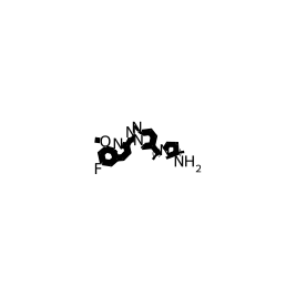 COc1cc(F)cc2ccc(-c3nnc4ccc([C@H](C)N5CC[C@](C)(N)C5)cn34)nc12